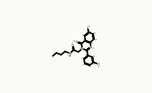 CCCCNC(=O)Cn1c(-c2cccc(Cl)c2)nc2ccc(I)cc2c1=O